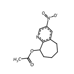 CC(=O)OC1CCCCc2cc([N+](=O)[O-])cnc21